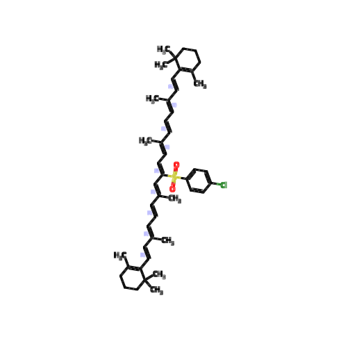 CC1=C(/C=C/C(C)=C/C=C/C(C)=C/C=C(/C=C(C)/C=C/C=C(C)/C=C/C2=C(C)CCCC2(C)C)S(=O)(=O)c2ccc(Cl)cc2)C(C)(C)CCC1